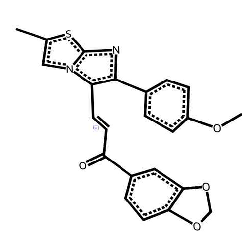 COc1ccc(-c2nc3sc(C)cn3c2/C=C/C(=O)c2ccc3c(c2)OCO3)cc1